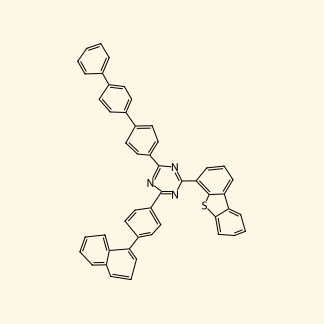 c1ccc(-c2ccc(-c3ccc(-c4nc(-c5ccc(-c6cccc7ccccc67)cc5)nc(-c5cccc6c5sc5ccccc56)n4)cc3)cc2)cc1